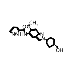 COc1cc2nn([C@H]3CC[C@H](CO)CC3)cc2cc1NC(=O)c1cccnn1